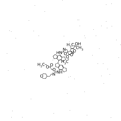 CCOC(=O)CO/C(=N\CCC1CCOCC1)Nc1c2c(cc3c1CCC3c1c3c(c(NC4=NCC(C(=O)OCC)(c5cc(C(C)(C)O)on5)O4)c4c1CCC4)CCC3)CCC2